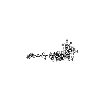 CC(=O)NC1[C@H](OCCNC(=O)OCCOCCOCCP(=O)(O)O)OC(CO)[C@@H](O[C@@H]2OC(CO)[C@@H](O[C@@H]3OC(CO)[C@@H](O)[C@H](O[C@H]4O[C@@H](CO)[C@@H](O)C(O)C4O[C@H]4O[C@@H](CO)[C@@H](O)C(O)C4O[C@H]4O[C@@H](CO)[C@@H](O)C(O)C4O)C3O)[C@H](O)C2NC(C)=O)[C@@H]1O